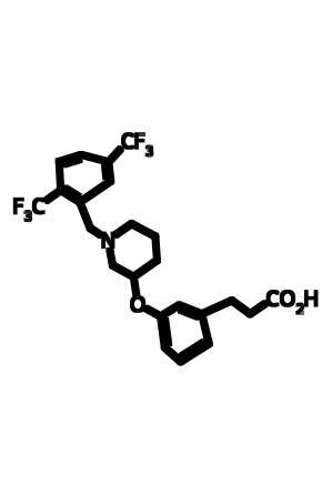 O=C(O)CCc1cccc(OC2CCCN(Cc3cc(C(F)(F)F)ccc3C(F)(F)F)C2)c1